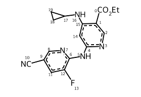 CCOC(=O)c1cnc(Nc2ncc(C#N)cc2F)cc1NC1CC1